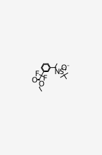 CCOC(=O)C(F)(F)c1cccc(/C(C)=N/[S@+]([O-])C(C)(C)C)c1